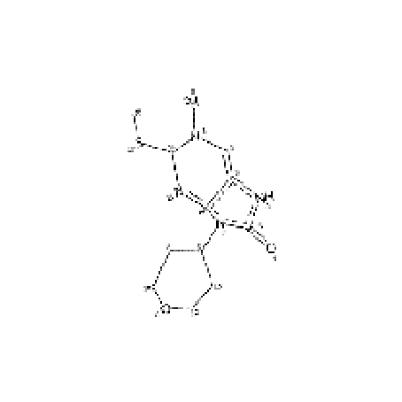 [2H]N1C=c2[nH]c(=O)n(C3CCOCC3)c2=NC1SC